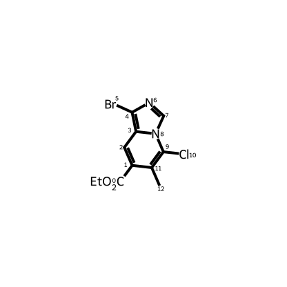 CCOC(=O)c1cc2c(Br)ncn2c(Cl)c1C